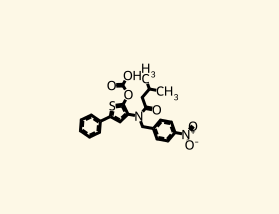 CC(C)CC(=O)N(Cc1ccc([N+](=O)[O-])cc1)c1cc(-c2ccccc2)sc1OC(=O)O